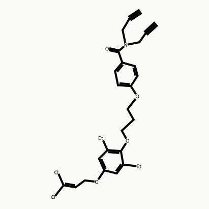 C#CCN(CC#C)C(=O)c1ccc(OCCCOc2c(CC)cc(OCC=C(Cl)Cl)cc2CC)cc1